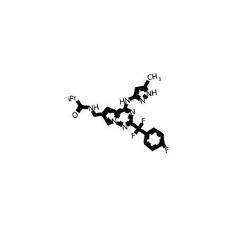 Cc1cc(Nc2nc(C(F)(F)c3ccc(F)cc3)nn3cc(CNC(=O)C(C)C)cc23)n[nH]1